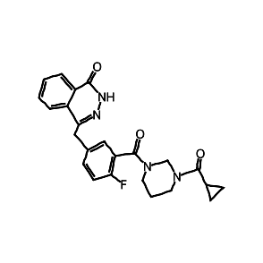 O=C(c1cc(Cc2n[nH]c(=O)c3ccccc23)ccc1F)N1CCCN(C(=O)C2CC2)C1